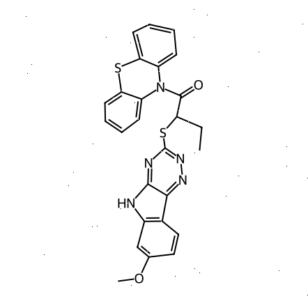 CCC(Sc1nnc2c(n1)[nH]c1cc(OC)ccc12)C(=O)N1c2ccccc2Sc2ccccc21